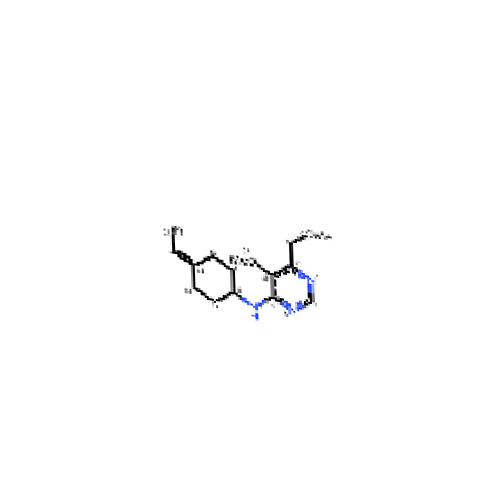 COCc1ncnc(NC2CCC(=CC(C)C)CC2)c1OC